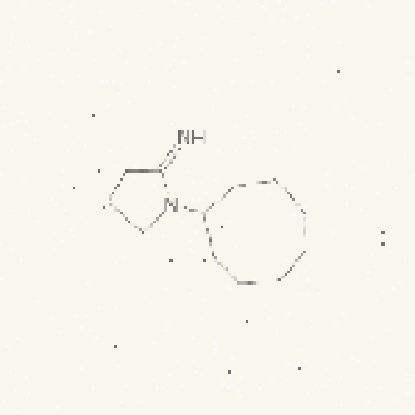 N=C1CCCN1C1CCCCCCC1